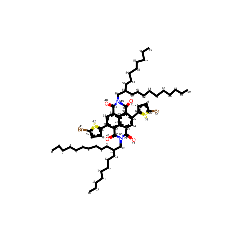 CCCCCCCCCCC(CCCCCCCC)CN1C(=O)c2cc(-c3ccc(Br)s3)c3c4c(cc(-c5ccc(Br)s5)c(c24)C1=O)C(=O)N(CC(CCCCCCCC)CCCCCCCCCC)C3=O